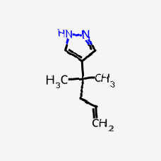 C=CCC(C)(C)c1cn[nH]c1